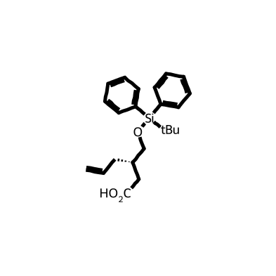 C=CC[C@H](CO[Si](c1ccccc1)(c1ccccc1)C(C)(C)C)CC(=O)O